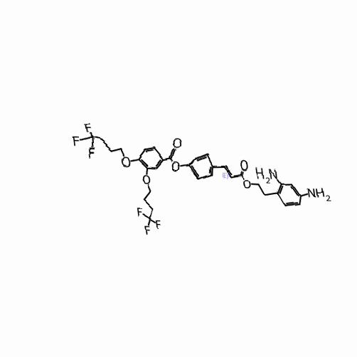 Nc1ccc(CCOC(=O)/C=C/c2ccc(OC(=O)c3ccc(OCCCC(F)(F)F)c(OCCCC(F)(F)F)c3)cc2)c(N)c1